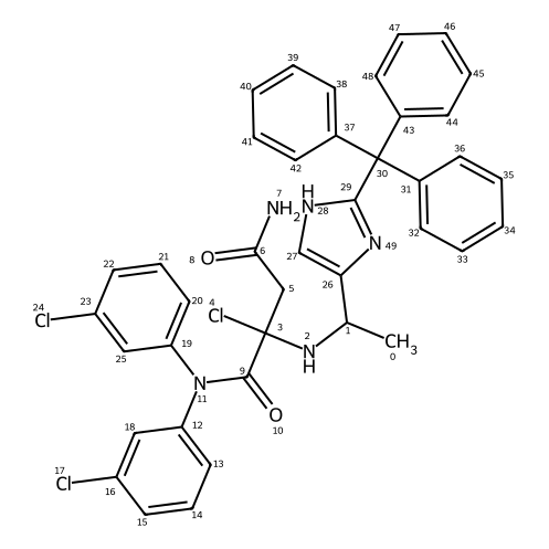 CC(NC(Cl)(CC(N)=O)C(=O)N(c1cccc(Cl)c1)c1cccc(Cl)c1)c1c[nH]c(C(c2ccccc2)(c2ccccc2)c2ccccc2)n1